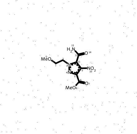 COCCn1nc(C(=O)OC)c([N+](=O)[O-])c1C(N)=O